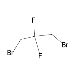 FC(F)(CBr)CBr